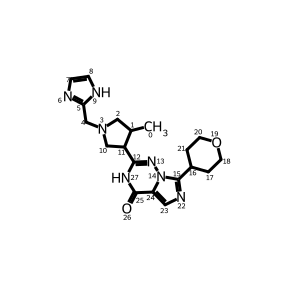 CC1CN(Cc2ncc[nH]2)CC1c1nn2c(C3CCOCC3)ncc2c(=O)[nH]1